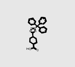 O=C(O)C1CCC(c2nnn(C(c3ccccc3)(c3ccccc3)c3ccccc3)n2)CC1